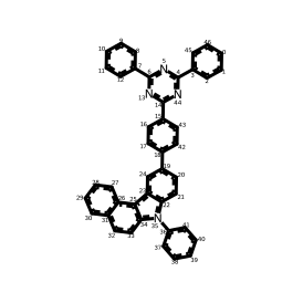 c1ccc(-c2nc(-c3ccccc3)nc(-c3ccc(-c4ccc5c(c4)c4c6ccccc6ccc4n5-c4ccccc4)cc3)n2)cc1